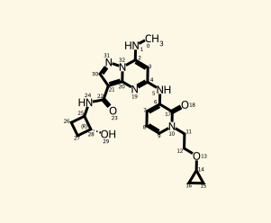 CNc1cc(Nc2cccn(CCOC3CC3)c2=O)nc2c(C(=O)NC3CC[C@H]3O)cnn12